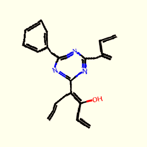 C=CC(=C)c1nc(/C(C=C)=C(\O)C=C)nc(-c2ccccc2)n1